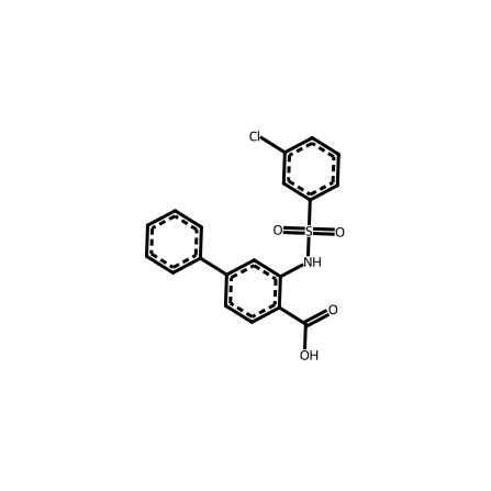 O=C(O)c1ccc(-c2ccccc2)cc1NS(=O)(=O)c1cccc(Cl)c1